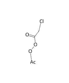 CC(=O)OOC(=O)CCl